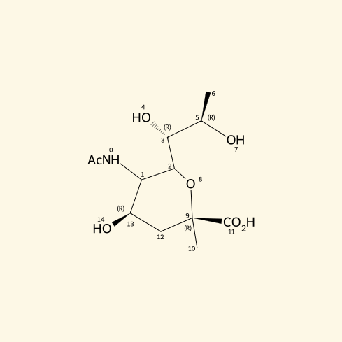 CC(=O)NC1C([C@H](O)[C@@H](C)O)O[C@@](C)(C(=O)O)C[C@H]1O